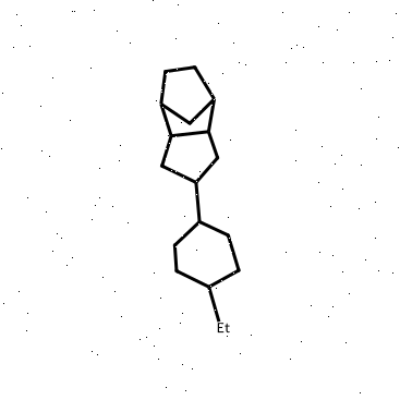 CCC1CCC(C2CC3C4CCC(C4)C3C2)CC1